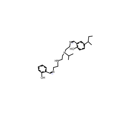 CCC(C)c1ccc(O)c(/C=N\CCN(CCNCC/N=C\c2ccccc2O)C(C)C)c1